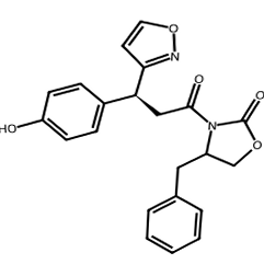 O=C(C[C@@H](c1ccc(O)cc1)c1ccon1)N1C(=O)OCC1Cc1ccccc1